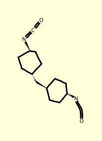 O=C=N[C@H]1CC[C@@H](C[C@H]2CC[C@H](N=C=O)CC2)CC1